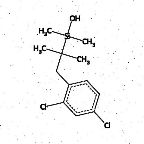 CC(C)(Cc1ccc(Cl)cc1Cl)[Si](C)(C)O